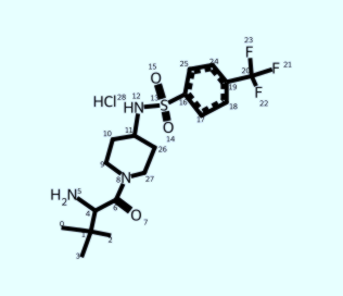 CC(C)(C)C(N)C(=O)N1CCC(NS(=O)(=O)c2ccc(C(F)(F)F)cc2)CC1.Cl